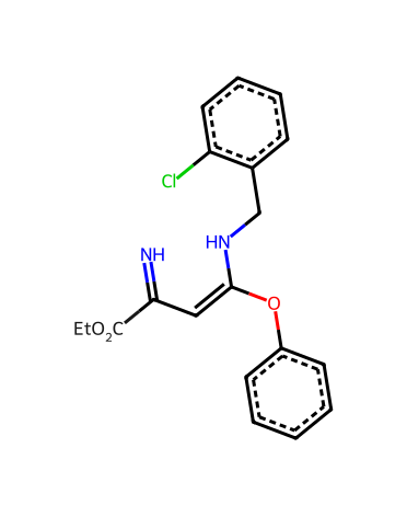 CCOC(=O)C(=N)/C=C(\NCc1ccccc1Cl)Oc1ccccc1